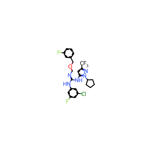 Fc1cccc(COC/N=C(/Nc2cc(F)cc(Cl)c2)Nc2cc(C(F)(F)F)nn2C2CCCC2)c1